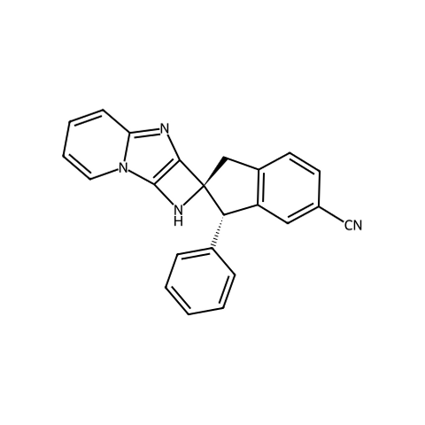 N#Cc1ccc2c(c1)[C@H](c1ccccc1)[C@]1(C2)Nc2c1nc1ccccn21